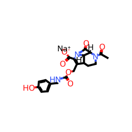 CC(=O)N1CCC2C(COC(=O)NCc3ccc(O)cc3)=C(C(=O)[O-])N3C(=O)[C@@H]1[C@@H]23.[Na+]